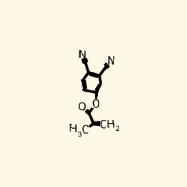 C=C(C)C(=O)Oc1ccc(C#N)c(C#N)c1